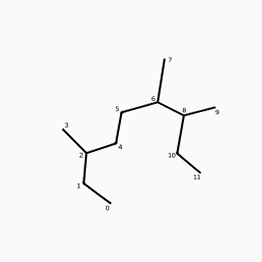 CCC(C)CCC(C)C(C)CC